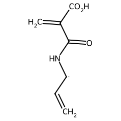 C=C[CH]NC(=O)C(=C)C(=O)O